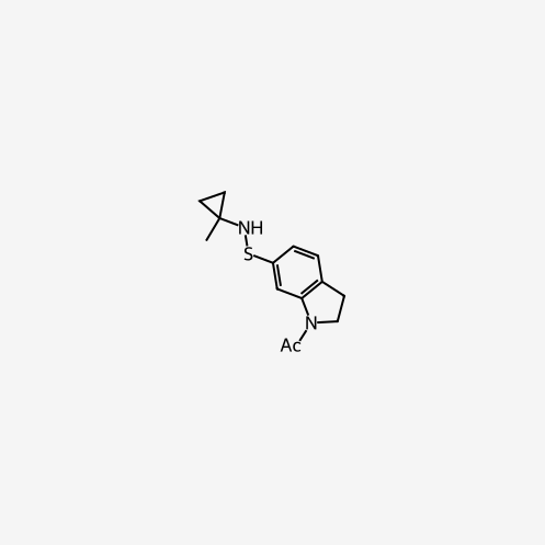 CC(=O)N1CCc2ccc(SNC3(C)CC3)cc21